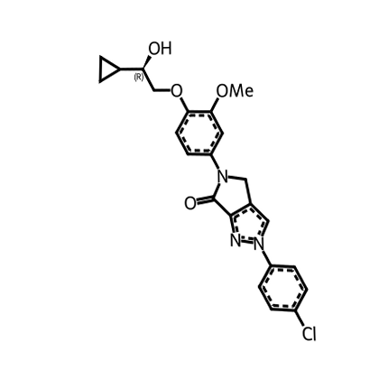 COc1cc(N2Cc3cn(-c4ccc(Cl)cc4)nc3C2=O)ccc1OC[C@H](O)C1CC1